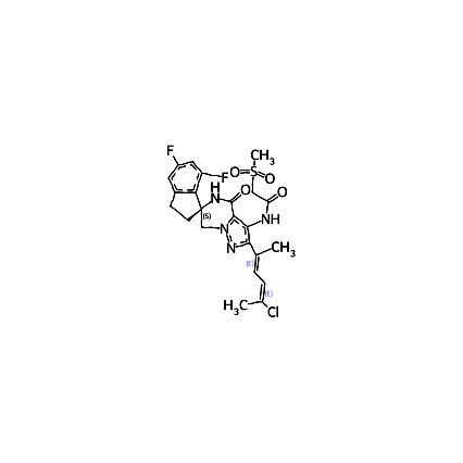 C/C(Cl)=C\C=C(/C)c1nn2c(c1NC(=O)CS(C)(=O)=O)C(=O)N[C@]1(CCc3cc(F)cc(F)c31)C2